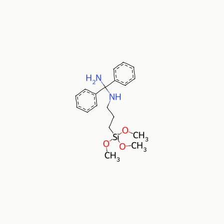 CO[Si](CCCNC(N)(c1ccccc1)c1ccccc1)(OC)OC